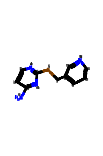 Nc1ccnc(SCc2cccnc2)n1